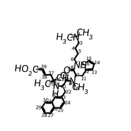 CN(C)CCCCNC(=O)[C@@H](Cc1cccs1)N(C)C(=O)[C@@H](Cc1ccc2ccccc2c1)NC(C)(C)C/C=C/C(=O)O